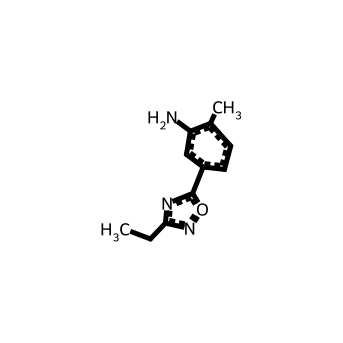 CCc1noc(-c2ccc(C)c(N)c2)n1